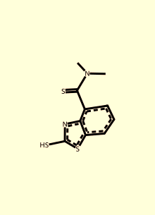 CN(C)C(=S)c1cccc2sc(S)nc12